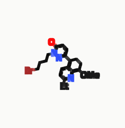 CCc1ccc2c(n1)=C(OC)CCC=2c1ccc(=O)n(CCCCBr)n1